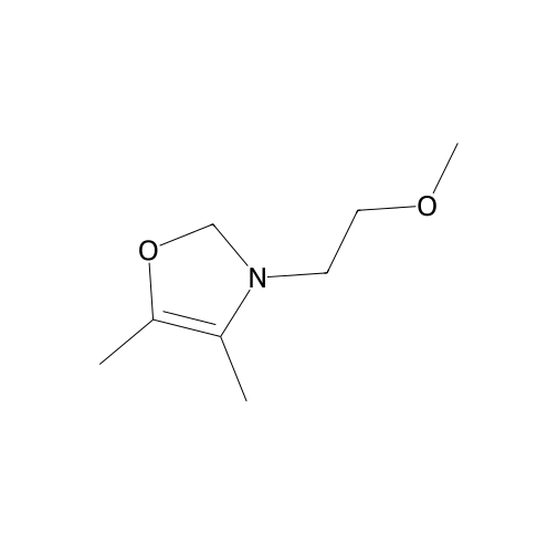 COCCN1COC(C)=C1C